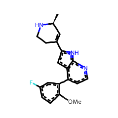 COc1ccc(F)cc1-c1ccnc2[nH]c(C3=C[C@H](C)NCC3)cc12